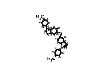 Cc1ccc(-n2nnc3cc(Oc4ccc5c(c4)nnn5-c4ccc(C)cc4)ccc32)cc1